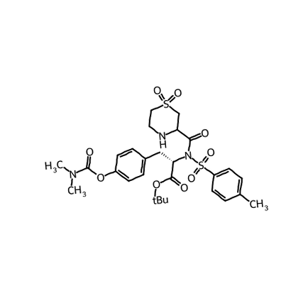 Cc1ccc(S(=O)(=O)N(C(=O)C2CS(=O)(=O)CCN2)[C@@H](Cc2ccc(OC(=O)N(C)C)cc2)C(=O)OC(C)(C)C)cc1